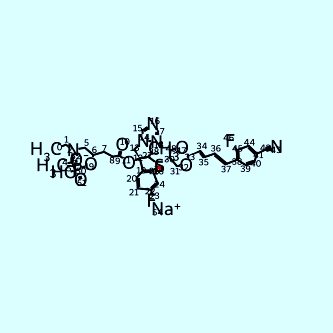 CCN(CC)CC(CCC(=O)O[C@@](Cn1cncn1)(c1ccc(F)cc1F)[C@@H](C)S[C@H]1CO[C@H](/C=C/C=C/c2ccc(C#N)cc2F)OC1)OP(=O)([O-])O.[Na+]